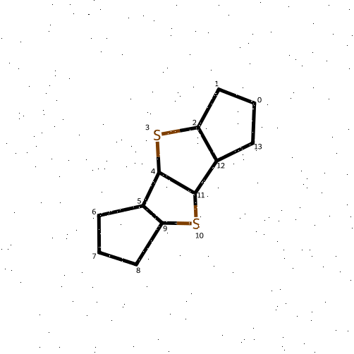 C1CC2SC3C4CCCC4SC3C2C1